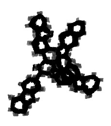 c1ccc2cc3c(cc2c1)c1cc2ccccc2cc1n3-c1c(C2=NC(c3ccc4c(c3)sc3ccccc34)NC(c3ccc4c(c3)sc3ccccc34)N2)ccc2c1oc1ccccc12